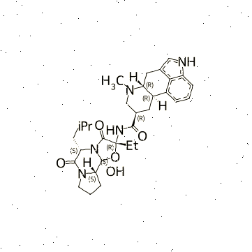 CC[C@@]1(NC(=O)[C@@H]2C[C@@H]3c4cccc5[nH]cc(c45)C[C@H]3N(C)C2)O[C@@]2(O)[C@@H]3CCCN3C(=O)[C@H](CC(C)C)N2C1=O